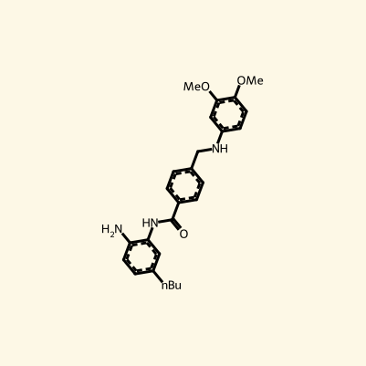 CCCCc1ccc(N)c(NC(=O)c2ccc(CNc3ccc(OC)c(OC)c3)cc2)c1